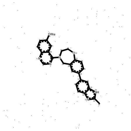 COc1ccc2ncnc(N3CCOc4ccc(-c5ccc6nc(C)[nH]c6c5)cc4C3)c2c1